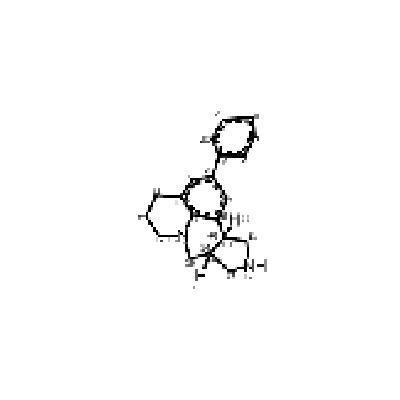 c1ccc(-c2cc3c4c(c2)[C@@H]2CNC[C@@H]2CN4CCC3)cc1